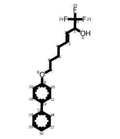 OC(C=CCCCCOc1ccc(-c2ccccc2)cc1)C(F)(F)F